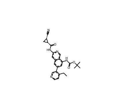 CCc1ccncc1-c1cc(NC(=O)OC(C)(C)C)c2cnc(NC(=O)[C@H]3C[C@H]3C#N)cc2c1